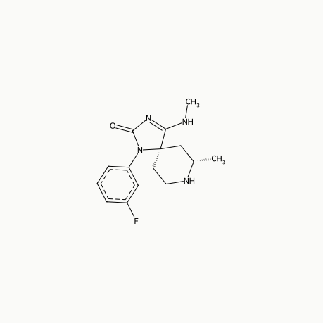 CNC1=NC(=O)N(c2cccc(F)c2)[C@@]12CCN[C@@H](C)C2